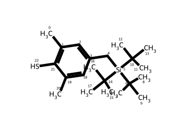 Cc1cc(C[Si](C(C)(C)C)(C(C)(C)C)C(C)(C)C)cc(C)c1S